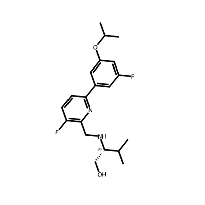 CC(C)Oc1cc(F)cc(-c2ccc(F)c(CN[C@@H](CO)C(C)C)n2)c1